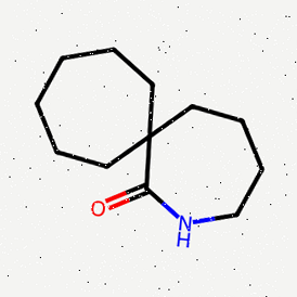 O=C1NCCCCC12CCCCCC2